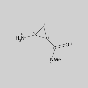 CNC(=O)C1CC1N